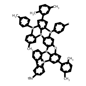 Cc1ccc(N2c3ccc(C)cc3B3c4cc5c(cc4N(c4ccc(I)cc4)c4cc(-c6cc(C)ccc6C)cc2c43)Oc2cc(-c3cc(C)ccc3C)cc3c2B5c2cccc4c5cc(C(C)(C)C)ccc5n-3c24)cc1